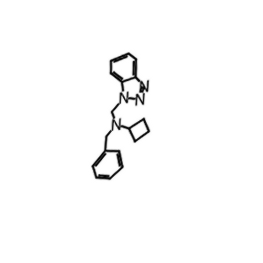 c1ccc(CN(Cn2nnc3ccccc32)C2CCC2)cc1